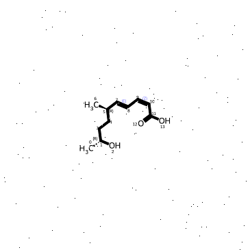 C[C@@H](O)CC[C@@H](C)/C=C/C=C\C(=O)O